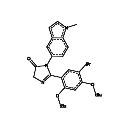 CC(C)c1cc(C2=NCC(=O)N2c2ccc3c(ccn3C)c2)c(OC(C)(C)C)cc1OC(C)(C)C